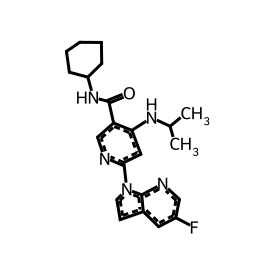 CC(C)Nc1cc(-n2ccc3cc(F)cnc32)ncc1C(=O)NC1CCCCC1